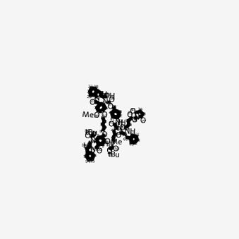 COc1cc2c(cc1OCCCCCOc1cc3c(cc1OC)C(=O)N1c4ccccc4C[C@H]1C(O)N3C(=O)OCc1ccc(NC(=O)[C@H](CCCCNC(=O)OC(C)(C)C)NC(=O)[C@H](Cc3ccccc3)NC(=O)CCC(=O)ON3C(=O)CCC3=O)cc1)N(C(=O)OC(C)(C)C)C[C@@H]1Cc3ccccc3N1C2=O